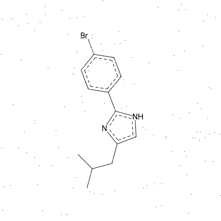 CC(C)Cc1c[nH]c(-c2ccc(Br)cc2)n1